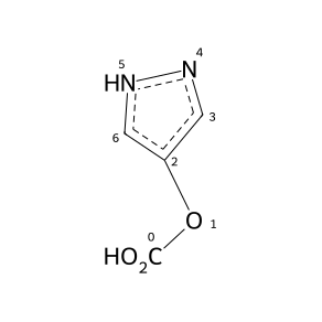 O=C(O)Oc1cn[nH]c1